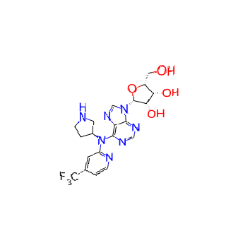 OC[C@H]1O[C@@H](n2cnc3c(N(c4cc(C(F)(F)F)ccn4)[C@H]4CCNC4)ncnc32)[C@@H](O)[C@H]1O